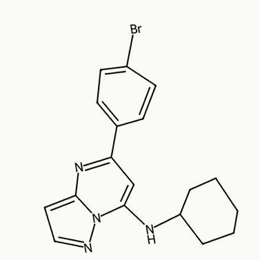 Brc1ccc(-c2cc(NC3CCCCC3)n3nccc3n2)cc1